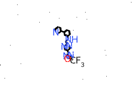 FC(F)(F)c1nc(-c2cnc(CNc3cccc(-c4cccnc4)c3)nc2)no1